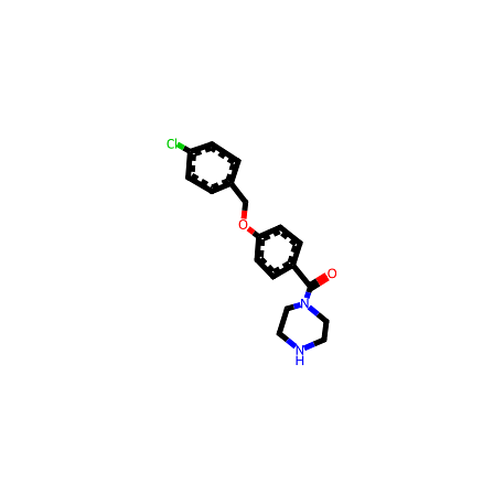 O=C(c1ccc(OCc2ccc(Cl)cc2)cc1)N1CCNCC1